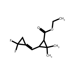 CCOC(=O)C1C(/C=C2\CC2(F)F)C1(C)C